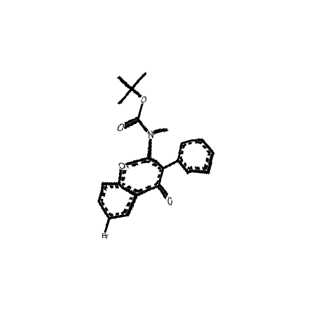 CN(C(=O)OC(C)(C)C)c1oc2ccc(Br)cc2c(=O)c1-c1ccccc1